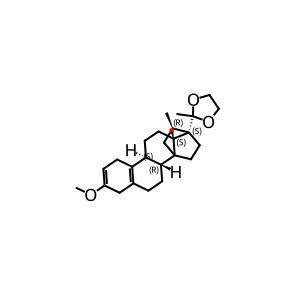 COC1=CCC2=C(CC[C@@H]3[C@@H]2CC[C@@]2(C)C34CC[C@]2(C2(C)OCCO2)[C@H](C)C4)C1